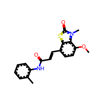 COc1ccc(/C=C/C(=O)Nc2ccccc2C)c2sc(=O)n(C)c12